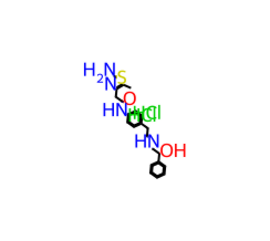 Cc1sc(N)nc1CC(=O)Nc1ccc(CCNCC(O)c2ccccc2)cc1.Cl.Cl